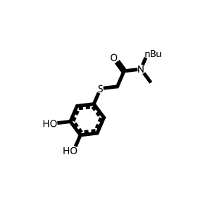 CCCCN(C)C(=O)CSc1ccc(O)c(O)c1